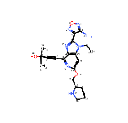 CCn1c(-c2nonc2N)nc2c(C#CC(C)(C)O)nc(OC[C@H]3CCCN3)cc21